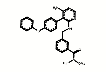 CON(C)C(=O)c1cccc(CNc2ncnc(N)c2-c2ccc(Oc3ccccc3)cc2)c1